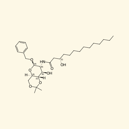 CCCCCCCCCCC[C@H](O)CC(=O)N[C@H]1[C@H](OCc2ccccc2)O[C@@H]2COC(C)(C)O[C@H]2[C@@H]1O